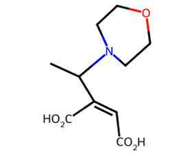 CC(C(=CC(=O)O)C(=O)O)N1CCOCC1